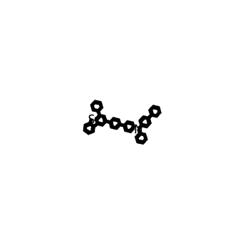 C1=CCCC(c2ccc(N(C3=CC=CCC3)c3ccc(-c4ccc(-c5cc(C6CC=CCC6)c6sc7ccccc7c6c5)cc4)cc3)cc2)=C1